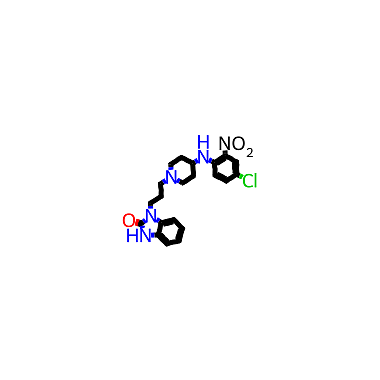 O=c1[nH]c2ccccc2n1CCCN1CCC(Nc2ccc(Cl)cc2[N+](=O)[O-])CC1